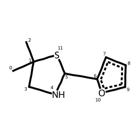 CC1(C)CNC(c2ccco2)S1